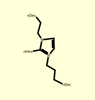 CCCCCCCCCCCCC[n+]1ccn(CCCCCCCCCCCC)c1CCCCCC